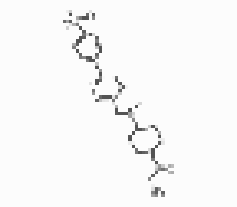 CC(C)CC(=O)N1CCC(N(C)Cc2ccc(-c3ccc(S(C)(=O)=O)cc3)nc2)CC1